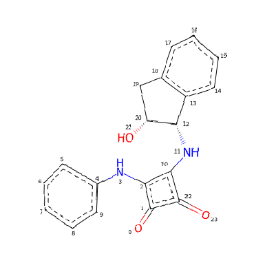 O=c1c(Nc2ccccc2)c(N[C@H]2c3ccccc3C[C@H]2O)c1=O